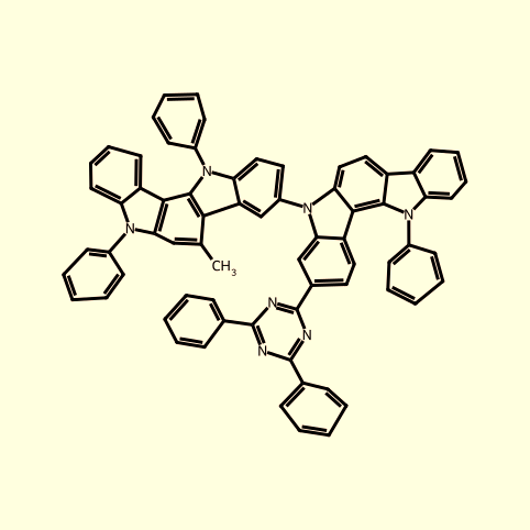 Cc1cc2c(c3ccccc3n2-c2ccccc2)c2c1c1cc(-n3c4cc(-c5nc(-c6ccccc6)nc(-c6ccccc6)n5)ccc4c4c3ccc3c5ccccc5n(-c5ccccc5)c34)ccc1n2-c1ccccc1